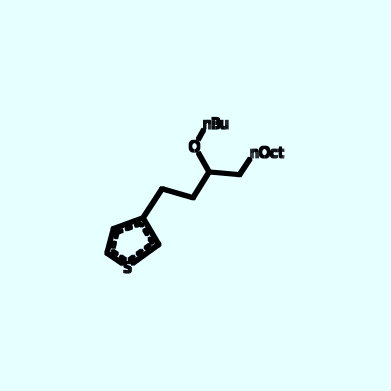 CCCCCCCCCC(CCc1ccsc1)OCCCC